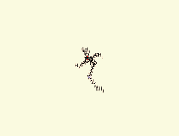 CCCCCCCC/C=C\CCCCCCCC(=O)OC(=O)CC(CC(=O)OCCCC)(OCCCC)C(=O)OCCCC